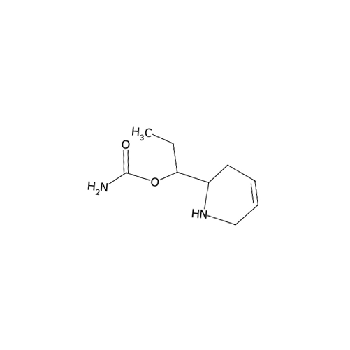 CCC(OC(N)=O)C1CC=CCN1